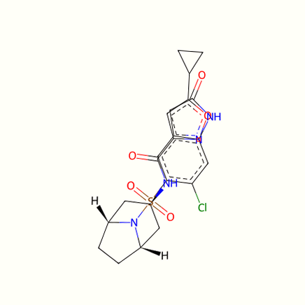 O=C1Cc2cc(S(=O)(=O)N3[C@@H]4CC[C@H]3C[C@H](NC(=O)c3cc(C5CC5)on3)C4)c(Cl)cc2N1